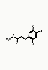 NNC(=O)CSc1cc(Cl)c(Cl)cc1Cl